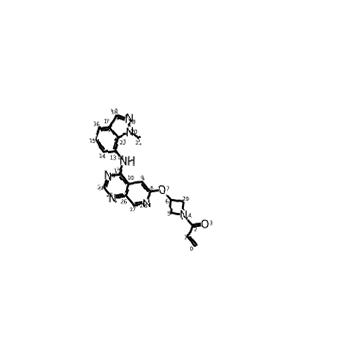 C=CC(=O)N1CC(Oc2cc3c(Nc4cccc5cnn(C)c45)ncnc3cn2)C1